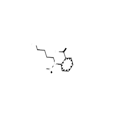 CCCCCN(c1ccccc1C(=O)O)[N+](=O)[O-]